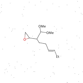 CCC=CCCC(C1CO1)C(OC)OC